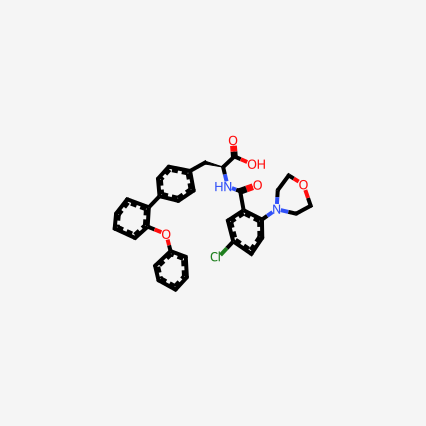 O=C(N[C@@H](Cc1ccc(-c2ccccc2Oc2ccccc2)cc1)C(=O)O)c1cc(Cl)ccc1N1CCOCC1